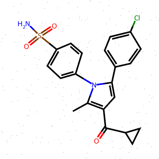 Cc1c(C(=O)C2CC2)cc(-c2ccc(Cl)cc2)n1-c1ccc(S(N)(=O)=O)cc1